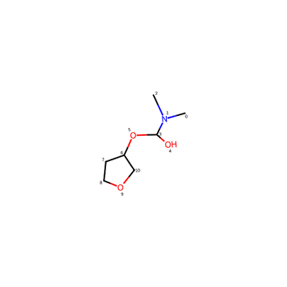 CN(C)C(O)OC1CCOC1